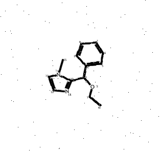 CCOC(c1ccccc1)c1nccn1C